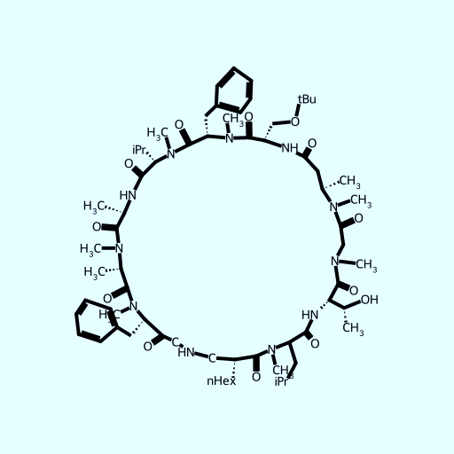 CCCCCC[C@@H]1CNCC(=O)[C@H](Cc2ccccc2)N(C)C(=O)[C@H](C)N(C)C(=O)[C@H](C)NC(=O)[C@H](C(C)C)N(C)C(=O)[C@H](Cc2ccccc2)N(C)C(=O)[C@H](COC(C)(C)C)NC(=O)C[C@H](C)N(C)C(=O)CN(C)C(=O)[C@H]([C@@H](C)O)NC(=O)C(CC(C)C)N(C)C1=O